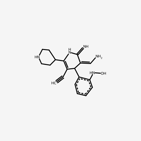 C#CC1=C(C2CCNCC2)NC(=N)/C(=C\N)C1c1ccccc1NO